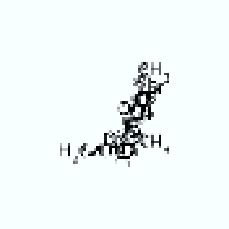 C=CCOC(=O)N1CCC[C@H](OC)[C@H]1CC(=O)Cn1cnc2cc(Br)c(SCC)cc2c1=O